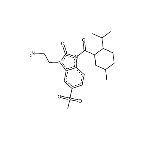 CC1CCC(C(C)C)C(C(=O)n2c(=O)n(CCN)c3cc(S(C)(=O)=O)ccc32)C1